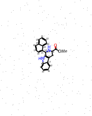 COC(=O)C1Cc2c([nH]c3ccccc23)C(c2cccc3ccccc23)N1